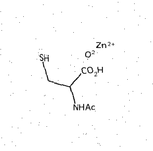 CC(=O)NC(CS)C(=O)O.[O-2].[Zn+2]